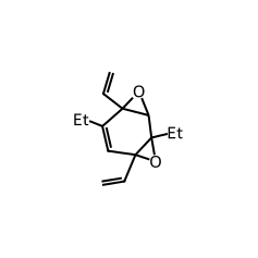 C=CC12OC1C1(CC)OC1(C=C)C=C2CC